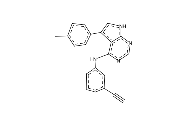 C#Cc1cccc(Nc2ncnc3[nH]cc(-c4ccc(C)cc4)c23)c1